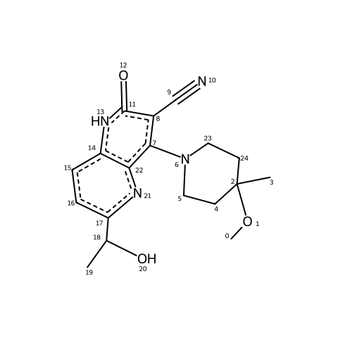 COC1(C)CCN(c2c(C#N)c(=O)[nH]c3ccc(C(C)O)nc23)CC1